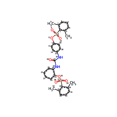 Cc1cccc(C)c1S(=O)(=O)Oc1ccc(NC(=O)Nc2ccccc2OS(=O)(=O)c2c(C)cccc2C)cc1